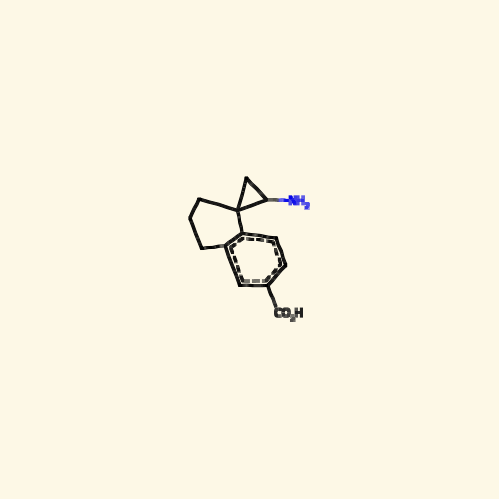 NC1CC12CCCc1cc(C(=O)O)ccc12